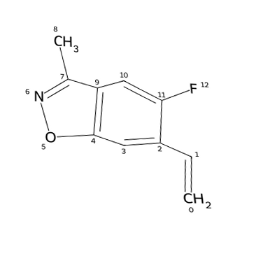 C=Cc1cc2onc(C)c2cc1F